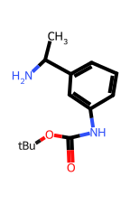 CC(N)c1cccc(NC(=O)OC(C)(C)C)c1